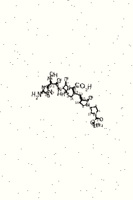 CC(C)(C)OC(=O)N1CC[C@@H](N2CC/C(=C\C3=C(C(=O)O)N4C(=O)[C@@H](NC(=O)/C(=N\O)c5nsc(N)n5)[C@H]4SC3)C2=O)C1